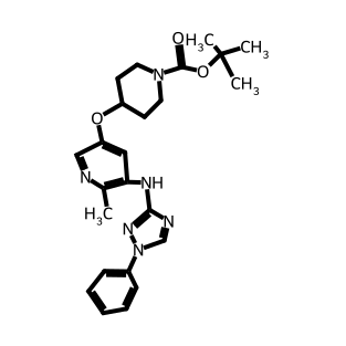 Cc1ncc(OC2CCN(C(=O)OC(C)(C)C)CC2)cc1Nc1ncn(-c2ccccc2)n1